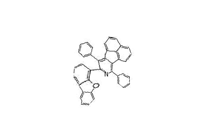 c1ccc(-c2nc(-c3cccc4c3oc3ccccc34)c(-c3ccccc3)c3c2-c2cccc4cccc-3c24)cc1